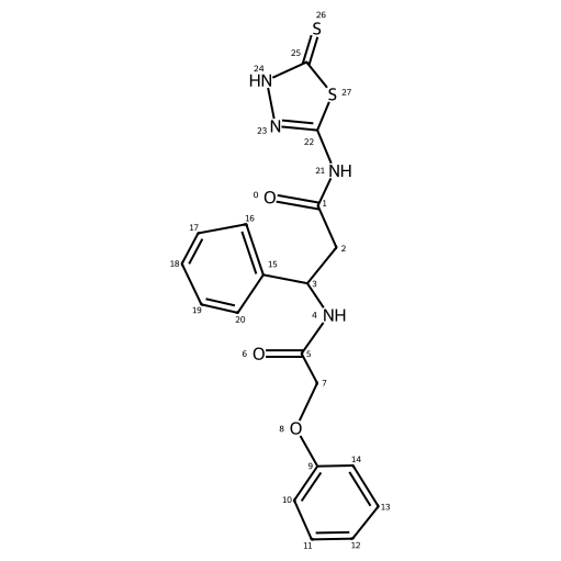 O=C(CC(NC(=O)COc1ccccc1)c1ccccc1)Nc1n[nH]c(=S)s1